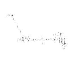 C[C@H](NC(=O)[C@H](CCC(N)=O)NC(=O)CNC(=O)COCCOCCNC(=O)COCCOCCNC(=O)CC[C@H](NC(=O)CCCCCCCCCCCCCCCCC(=O)O)C(=O)O)C(=O)N1CCC[C@H]1C(=O)C(C)(C)C